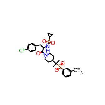 CC(C)(C1CCN(C(=O)C(Cc2ccc(Cl)cc2)NS(=O)(=O)C2CC2)CC1)S(=O)(=O)c1cccc(C(F)(F)F)c1